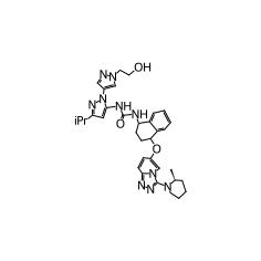 CC(C)c1cc(NC(=O)NC2CCC(Oc3ccc4nnc(N5CCCC[C@@H]5C)n4c3)c3ccccc32)n(-c2cnn(CCO)c2)n1